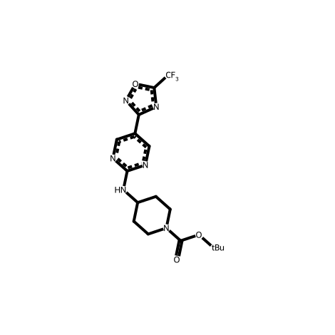 CC(C)(C)OC(=O)N1CCC(Nc2ncc(-c3noc(C(F)(F)F)n3)cn2)CC1